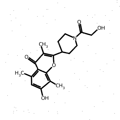 Cc1c(C2CCN(C(=O)CO)CC2)oc2c(C)c(O)cc(C)c2c1=O